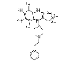 [2H]c1c([2H])c([2H])c(N(C(=O)CC([2H])([2H])[2H])C2CCN(CCc3ccccc3)CC2)c([2H])c1[2H]